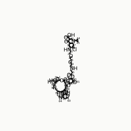 CC[C@H]1OC(=O)[C@H](C)[C@@H](O[C@H]2C[C@@](C)(OC)[C@@H](OC(=O)CCNCCOCCOCCNc3cc4c(=O)c(C(=O)O)cn(C5CC5)c4cc3Cl)[C@H](C)O2)[C@H](C)[C@@H](O[C@@H]2O[C@H](C)C[C@H](N(C)C)[C@H]2O)[C@](C)(O)C[C@@H](C)CN(C)[C@H](C)[C@@H](O)[C@]1(C)O